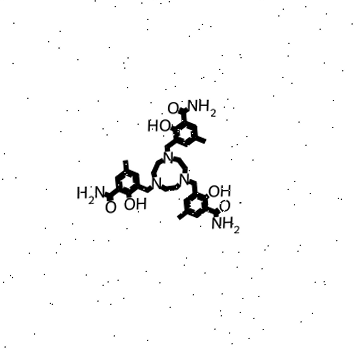 Cc1cc(CN2CCN(Cc3cc(C)cc(C(N)=O)c3O)CCN(Cc3cc(C)cc(C(N)=O)c3O)CC2)c(O)c(C(N)=O)c1